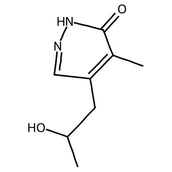 Cc1c(CC(C)O)cn[nH]c1=O